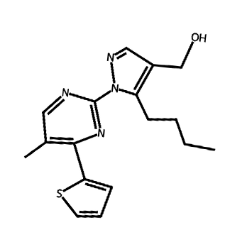 CCCCc1c(CO)cnn1-c1ncc(C)c(-c2cccs2)n1